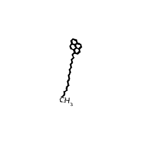 CCCCCCCCCCCCCCCCCCc1ccc2ccc3cccc4ccc1c2c34